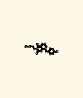 COCCn1c(=O)nc2n(Cc3cnc(Cl)nc3)cccc-2c1=O